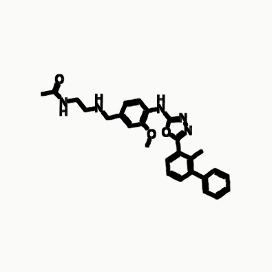 COc1cc(CNCCNC(C)=O)ccc1Nc1nnc(-c2cccc(-c3ccccc3)c2C)o1